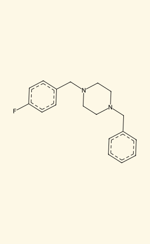 Fc1ccc(CN2CCN(Cc3ccccc3)CC2)cc1